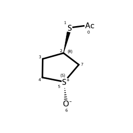 CC(=O)S[C@@H]1CC[S@@+]([O-])C1